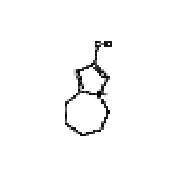 O=CC1=C[N+]2CCCCCC2=N1